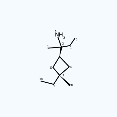 CCC(C)(N)[C@H]1C[C@](C)(CC)C1